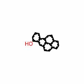 Oc1cccc2c1cc1ccc3cccc4ccc2c1c34